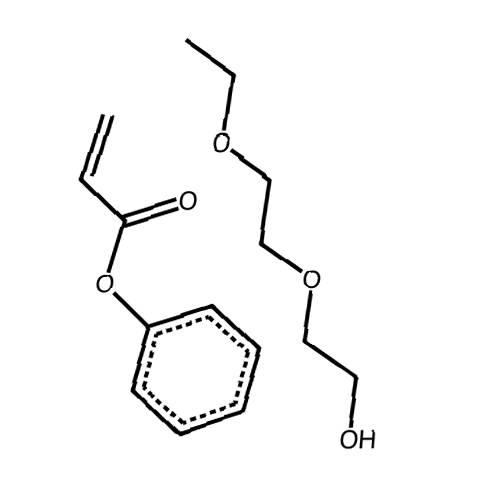 C=CC(=O)Oc1ccccc1.CCOCCOCCO